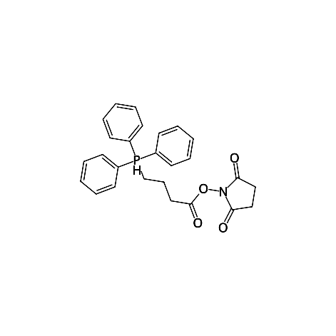 O=C(CCC[PH](c1ccccc1)(c1ccccc1)c1ccccc1)ON1C(=O)CCC1=O